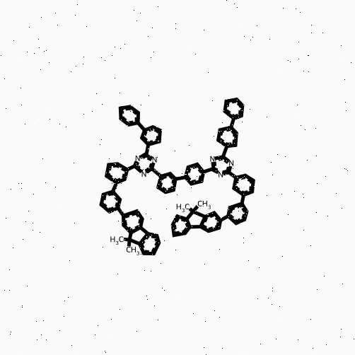 CC1(C)c2ccccc2-c2ccc(-c3cccc(-c4cccc(-c5nc(-c6ccc(-c7ccccc7)cc6)nc(-c6ccc(-c7cccc(-c8nc(-c9cccc(-c%10ccccc%10)c9)nc(-c9cccc(-c%10cccc(-c%11ccc%12c(c%11)C(C)(C)c%11ccccc%11-%12)c%10)c9)n8)c7)cc6)n5)c4)c3)cc21